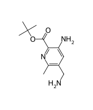 Cc1nc(C(=O)OC(C)(C)C)c(N)cc1CN